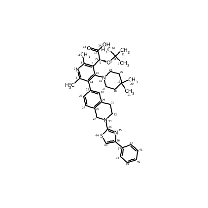 Cc1nc(C)c([C@H](OC(C)(C)C)C(=O)O)c(N2CCC(C)(C)CC2)c1-c1ccc2c(c1)CCN(c1nc(-c3ccccc3)cs1)C2